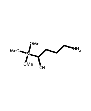 CO[Si](OC)(OC)C(C#N)CCCN